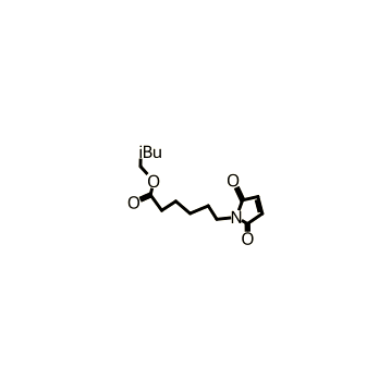 CCC(C)COC(=O)CCCCCN1C(=O)C=CC1=O